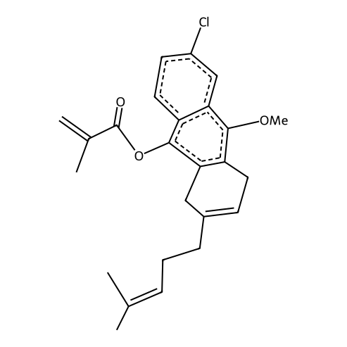 C=C(C)C(=O)Oc1c2c(c(OC)c3cc(Cl)ccc13)CC=C(CCC=C(C)C)C2